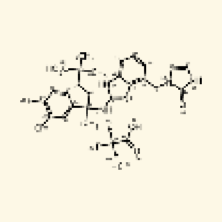 CC(C)(CCC(C)(Nc1nc2c(Cn3cc[nH]c3=O)cccc2[nH]1)c1ccc(F)c(Cl)c1)C(=O)O.Cl.O=C(O)C(F)(F)F